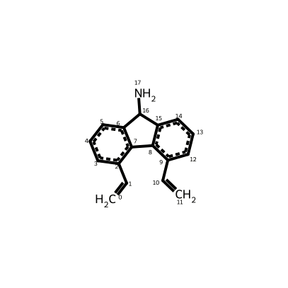 C=Cc1cccc2c1-c1c(C=C)cccc1C2N